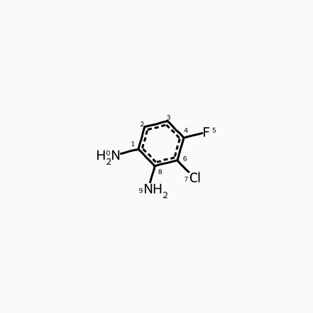 Nc1ccc(F)c(Cl)c1N